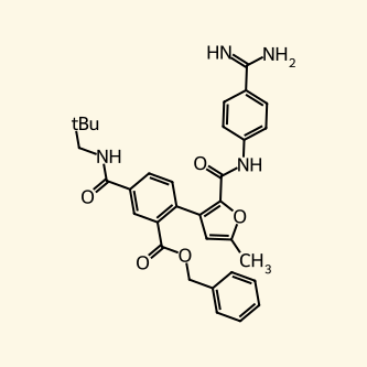 Cc1cc(-c2ccc(C(=O)NCC(C)(C)C)cc2C(=O)OCc2ccccc2)c(C(=O)Nc2ccc(C(=N)N)cc2)o1